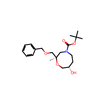 CC(C)(C)OC(=O)N1CC[C@H](O)CO[C@@](C)(COCc2ccccc2)C1